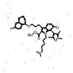 Cc1nn(C)c(C)c1-c1c(Cl)ccc2c(CCCOc3cccc4cc(F)ccc34)c(C(=O)OC(C)(C)C)n(CCCCCN(C)C)c12